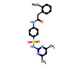 COc1ccccc1CC(=O)Nc1ccc(S(=O)(=O)Nc2nc(C)cc(C)n2)cc1